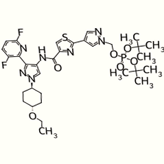 CCO[C@H]1CC[C@H](n2cc(NC(=O)c3csc(-c4cnn(COP(=O)(OC(C)(C)C)OC(C)(C)C)c4)n3)c(-c3nc(F)ccc3F)n2)CC1